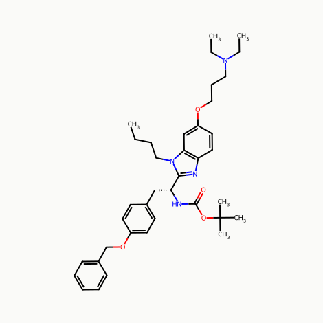 CCCCn1c([C@@H](Cc2ccc(OCc3ccccc3)cc2)NC(=O)OC(C)(C)C)nc2ccc(OCCCN(CC)CC)cc21